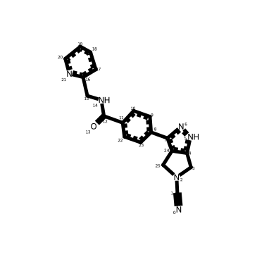 N#CN1Cc2[nH]nc(-c3ccc(C(=O)NCc4ccccn4)cc3)c2C1